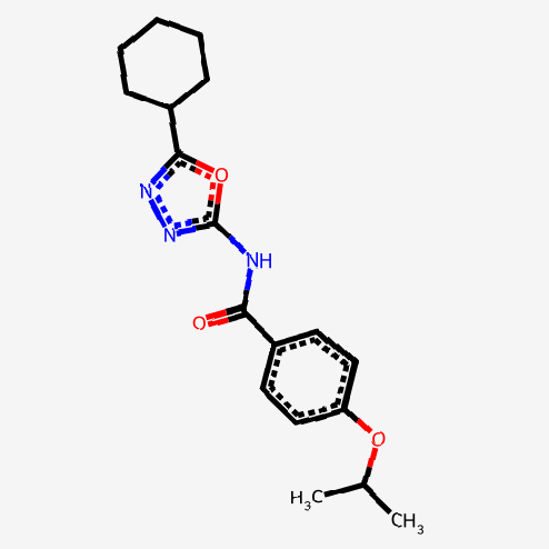 CC(C)Oc1ccc(C(=O)Nc2nnc(C3CCCCC3)o2)cc1